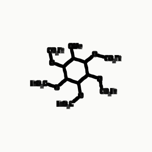 CCOC(=O)OC1C(OC)C(OC(=O)OCC)C(OC(=O)OCC)C(OC(=O)OCC)C1OC(=O)OCC